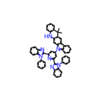 CC1(C)c2ccccc2Nc2cc3c(cc21)c1ccccc1n3-c1cc(-c2nc3ccccc3n2-c2ccccc2)nc(-c2nc3ccccc3n2-c2ccccc2)c1